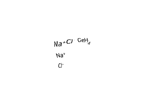 [Cl-].[Cl-].[GeH4].[Na+].[Na+]